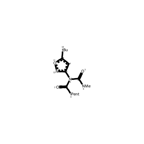 CCCC(C)C(=O)N(C(=O)NC)c1cc(C(C)(C)C)on1